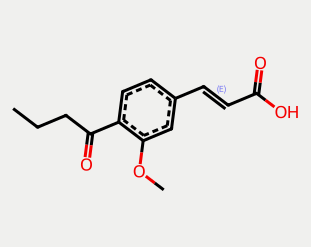 CCCC(=O)c1ccc(/C=C/C(=O)O)cc1OC